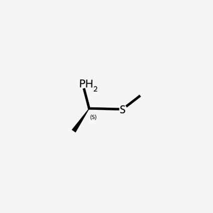 CS[C@@H](C)P